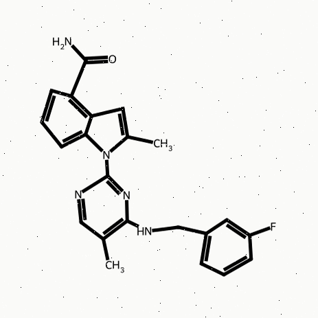 Cc1cnc(-n2c(C)cc3c(C(N)=O)cccc32)nc1NCc1cccc(F)c1